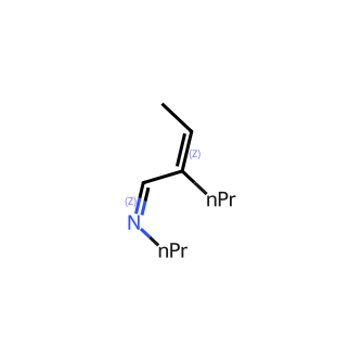 C/C=C(\C=N/CCC)CCC